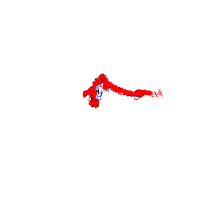 CN(CCOCCOCCOCCC(=O)N1CCN(CCOCCO)CC1)C(=O)Cc1cccc(SCc2cccc(Nc3ccc(N4CCCCC4)cc3-c3cc(C(=O)N[C@H]4CCCc5ccccc54)ccn3)c2)c1